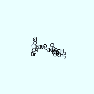 CN(C)S(=O)(=O)N=C(Oc1ccccc1)N1CCC(CC(=O)N2CCN(C3c4ccc(Cl)cc4CCc4cc(Br)cnc43)CC2)CC1